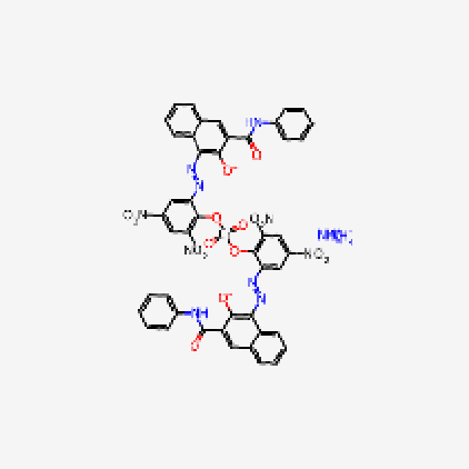 O=C(Nc1ccccc1)c1cc2ccccc2c(N=Nc2cc([N+](=O)[O-])cc([N+](=O)[O-])c2[O][Cr](=[O])(=[O])[O]c2c(N=Nc3c([O-])c(C(=O)Nc4ccccc4)cc4ccccc34)cc([N+](=O)[O-])cc2[N+](=O)[O-])c1[O-].[NH4+].[NH4+]